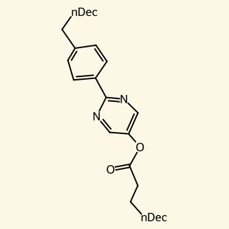 CCCCCCCCCCCCC(=O)Oc1cnc(-c2ccc(CCCCCCCCCCC)cc2)nc1